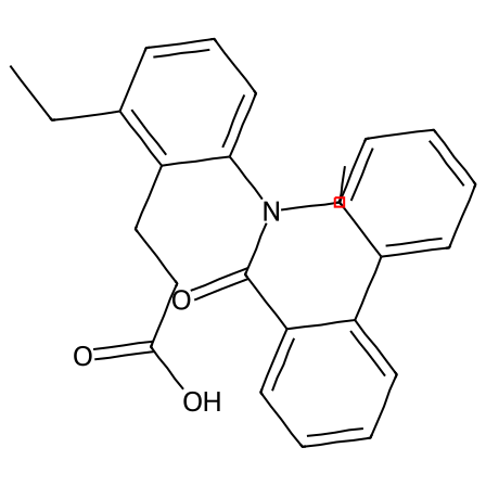 CCc1cccc(N(CC)C(=O)c2ccccc2-c2ccccc2)c1CCC(=O)O